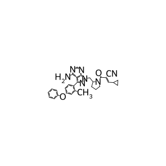 Cc1cc(Oc2ccccc2)ccc1-c1nn(CC2CCCN2C(=O)C(C#N)=CC2CC2)c2ncnc(N)c12